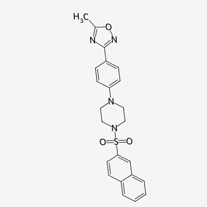 Cc1nc(-c2ccc(N3CCN(S(=O)(=O)c4ccc5ccccc5c4)CC3)cc2)no1